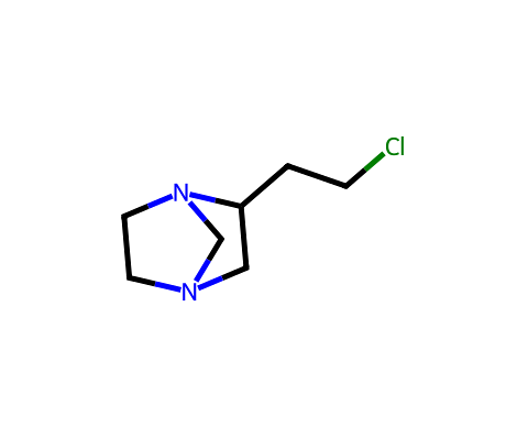 ClCCC1CN2CCN1C2